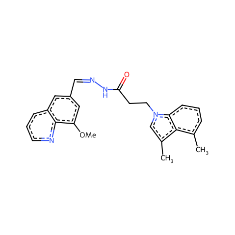 COc1cc(/C=N\NC(=O)CCn2cc(C)c3c(C)cccc32)cc2cccnc12